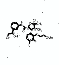 COCCOc1c([C@H]2[C@H](C(=O)Nc3ccnc([C@@H](O)CO)c3)O[C@@](C)(C(F)(F)F)[C@H]2C)ccc(F)c1F